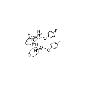 N[C@H]1C[C@H]2COC[C@@H](C1)N2CCCOc1ccc(F)cc1.O=C1CC2COCC(C1)N2CCCOc1ccc(F)cc1